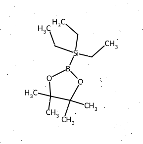 CC[Si](CC)(CC)B1OC(C)(C)C(C)(C)O1